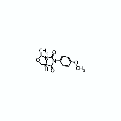 COc1ccc(N2C(=O)[C@H]3COC(C)N3C2=O)cc1